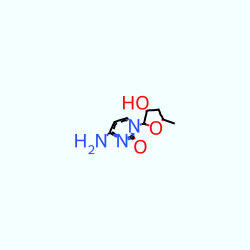 CC1CC(O)C(n2ccc(N)nc2=O)O1